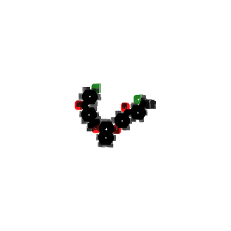 CCC(Cl)c1cccc(C(=O)c2ccc(Oc3ccc(OC(C)(C)c4ccc(C(=O)c5ccc(Cl)cc5)cc4)c4ccccc34)cc2)c1